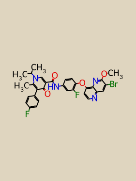 COc1nc2c(Oc3ccc(NC(=O)c4cn(C(C)C)c(C)c(-c5ccc(F)cc5)c4=O)cc3F)ccnc2cc1Br